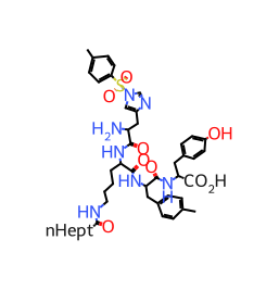 CCCCCCCC(=O)NCCCCC(NC(=O)C(N)Cc1cn(S(=O)(=O)c2ccc(C)cc2)cn1)C(=O)NC(Cc1ccc(C)cc1)C(=O)NC(Cc1ccc(O)cc1)C(=O)O